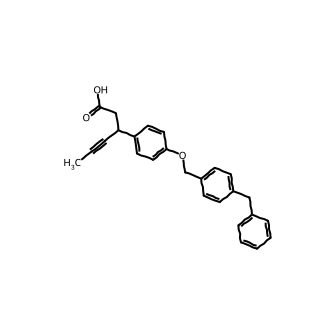 CC#CC(CC(=O)O)c1ccc(OCc2ccc(Cc3ccccc3)cc2)cc1